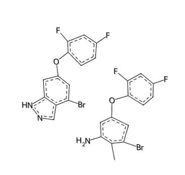 Cc1c(N)cc(Oc2ccc(F)cc2F)cc1Br.Fc1ccc(Oc2cc(Br)c3cn[nH]c3c2)c(F)c1